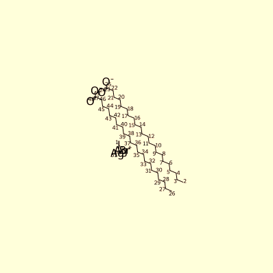 BrI.CCCCCCCCCCCCCCCCCCCCCC(=O)[O-].CCCCCCCCCCCCCCCCCCCCCC(=O)[O-].[Ag+].[Ag+]